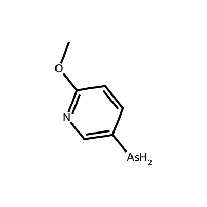 COc1ccc([AsH2])cn1